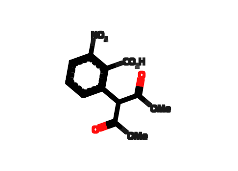 COC(=O)C(C(=O)OC)c1cccc([N+](=O)[O-])c1C(=O)O